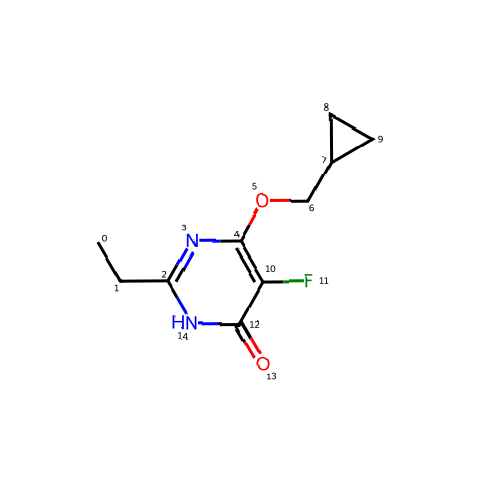 CCc1nc(OCC2CC2)c(F)c(=O)[nH]1